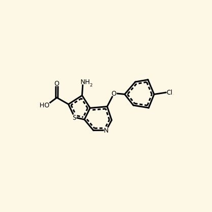 Nc1c(C(=O)O)sc2cncc(Oc3ccc(Cl)cc3)c12